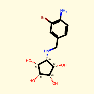 Nc1ccc(CN[C@@H]2[C@H](O)[C@H](O)[C@H](O)[C@@H]2O)cc1Br